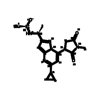 C[C@@H](N[S@+]([O-])C(C)(C)C)c1cc2nc(C3CC3)cc(N3CC(=O)N(C)C3=O)n2n1